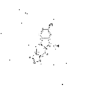 O[C@H]1c2cc(Cl)ccc2S[C@H]1Cc1ncc[nH]1